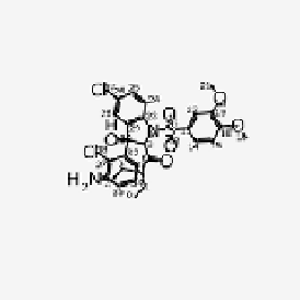 CCN(CCN)C(=O)C1N(S(=O)(=O)c2ccc(OC)c(OC)c2)c2ccc(Cl)cc2C1(O)c1ccccc1Cl